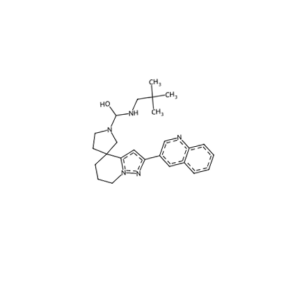 CC(C)(C)CNC(O)N1CCC2(CCCn3nc(-c4cnc5ccccc5c4)cc32)C1